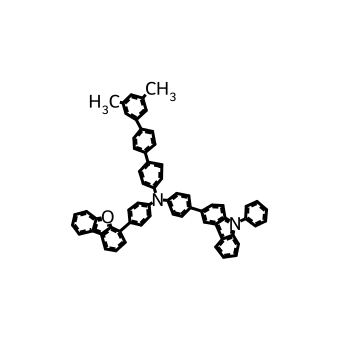 Cc1cc(C)cc(-c2ccc(-c3ccc(N(c4ccc(-c5ccc6c(c5)c5ccccc5n6-c5ccccc5)cc4)c4ccc(-c5cccc6c5oc5ccccc56)cc4)cc3)cc2)c1